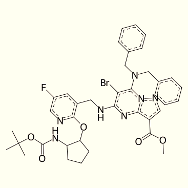 COC(=O)c1cnn2c(N(Cc3ccccc3)Cc3ccccc3)c(Br)c(NCc3cc(F)cnc3OC3CCCC3NC(=O)OC(C)(C)C)nc12